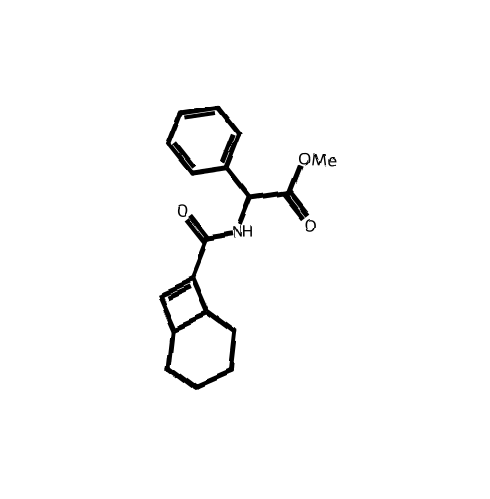 COC(=O)C(NC(=O)C1=CC2CCCCC12)c1ccccc1